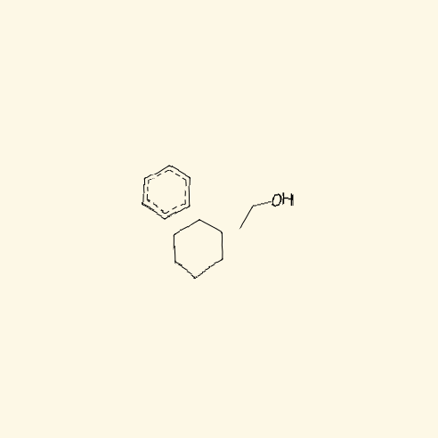 C1CCCCC1.CCO.c1ccccc1